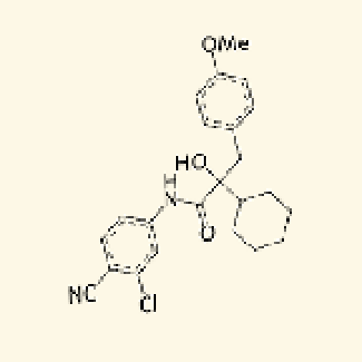 COc1ccc(CC(O)(C(=O)Nc2ccc(C#N)c(Cl)c2)C2CCCCC2)cc1